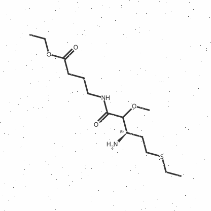 CCOC(=O)CCCNC(=O)C(OC)[C@H](N)CCSCC